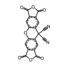 N#CC1(C#N)c2cc3c(cc2Oc2cc4c(cc21)C(=O)OC4=O)C(=O)OC3=O